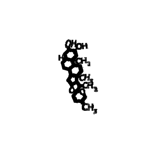 CC1CCC2(OC1)OC1CC3C4CC[C@@H]5CC(O)[C@H](O)C[C@]5(C)C4CC[C@]3(C)C1C2C